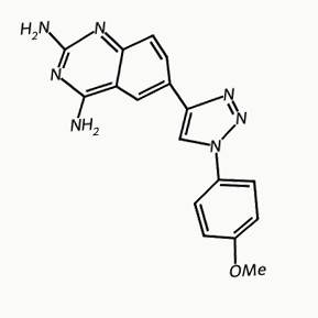 COc1ccc(-n2cc(-c3ccc4nc(N)nc(N)c4c3)nn2)cc1